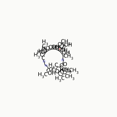 CCCC1(O)C(O)C(C)C/C=C/C=C/C(CC(C)O)CCC2OC3(CCC(C)C(C(C)C(O)CC)O3)C(C)C(OC(=O)/C=C/C(C)C(O)C(C)C(O)C(O[C@H]3CC[C@@H](O)[C@@H](C)O3)C(O)C(O)C1O)C2C